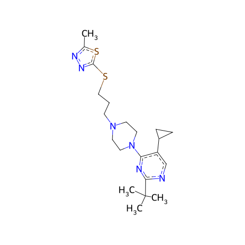 Cc1nnc(SCCCN2CCN(c3nc(C(C)(C)C)ncc3C3CC3)CC2)s1